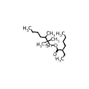 CCCCC(CC)C(=O)[O][Sn][C](C)(C)C(C)CCCC